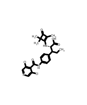 CCC(c1ccc(NC(=O)c2c(Cl)cncc2Cl)cc1)[C@H](NC1=C(C)C(=O)C1(C)C)C(=O)O